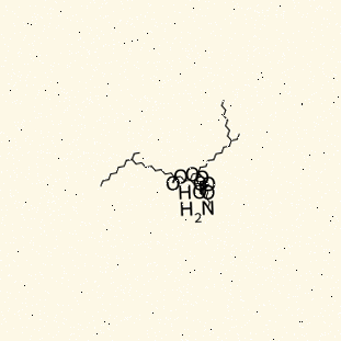 CCCCCCCCC(CC)CCCCCCCCC(=O)OC[C@H](COP(=O)(O)OCCN)OC(=O)CCCCCCCCC(CC)CCCCCCCC